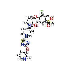 Cc1ncccc1Oc1nsc(N2CCC(N3CCC(Oc4ccc(S(C)(=O)=O)cc4F)C3=O)CC2)n1